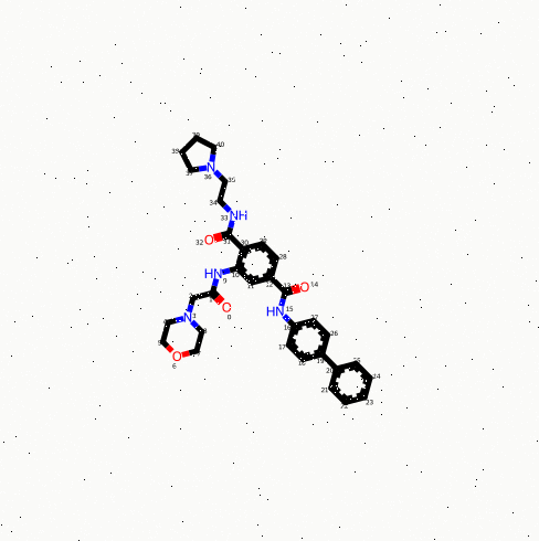 O=C(CN1CCOCC1)Nc1cc(C(=O)Nc2ccc(-c3ccccc3)cc2)ccc1C(=O)NCCN1CCCC1